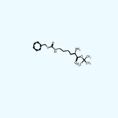 CC(C)(C)OC(=O)[C@H](N)CCCCNC(=O)OCc1ccccc1